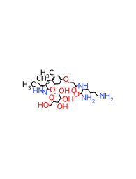 Cc1cc(OCCC(=O)N[C@@H](CCCCN)C(N)=O)ccc1Cc1c(O[C@@H]2O[C@H](CO)[C@@H](O)[C@H](O)[C@H]2O)n[nH]c1C(C)C